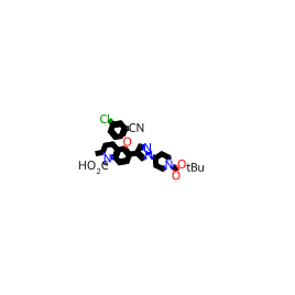 CC1CCc2c(ccc(-c3cnn(C4CCN(C(=O)OC(C)(C)C)CC4)c3)c2Oc2ccc(Cl)cc2C#N)N1C(=O)O